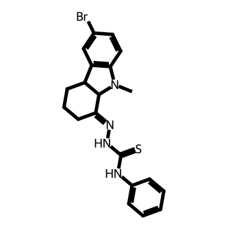 CN1c2ccc(Br)cc2C2CCC/C(=N\NC(=S)Nc3ccccc3)C21